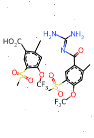 Cc1cc(OC(F)(F)F)c(S(C)(=O)=O)cc1C(=O)N=C(N)N.Cc1cc(OC(F)(F)F)c(S(C)(=O)=O)cc1C(=O)O